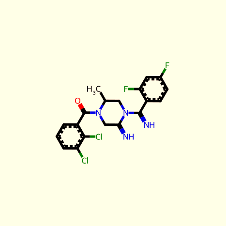 CC1CN(C(=N)c2ccc(F)cc2F)C(=N)CN1C(=O)c1cccc(Cl)c1Cl